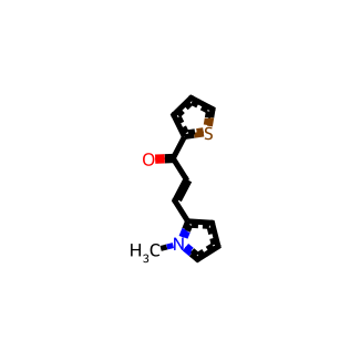 Cn1cccc1C=CC(=O)c1cccs1